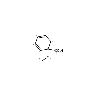 CCOC1(C(=O)O)C=CC=CC1